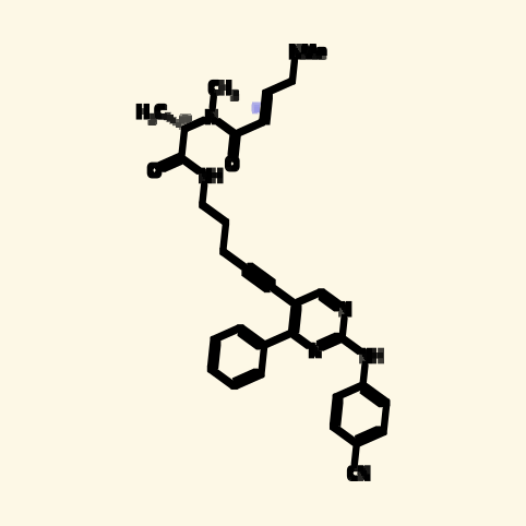 CNC/C=C/C(=O)N(C)[C@@H](C)C(=O)NCCCC#Cc1cnc(Nc2ccc(C#N)cc2)nc1-c1ccccc1